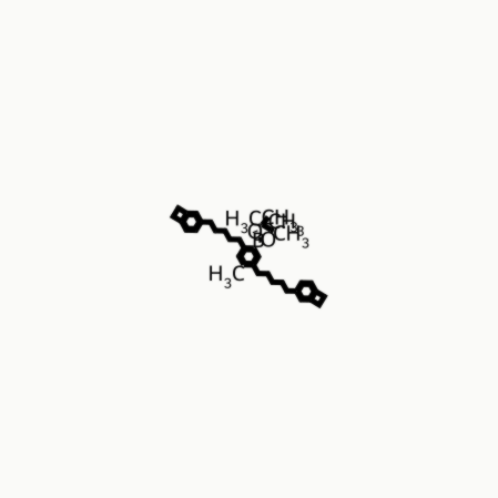 Cc1cc(CCCCCc2ccc3c(c2)CC3)c(B2OC(C)(C)C(C)(C)O2)cc1CCCCCc1ccc2c(c1)CC2